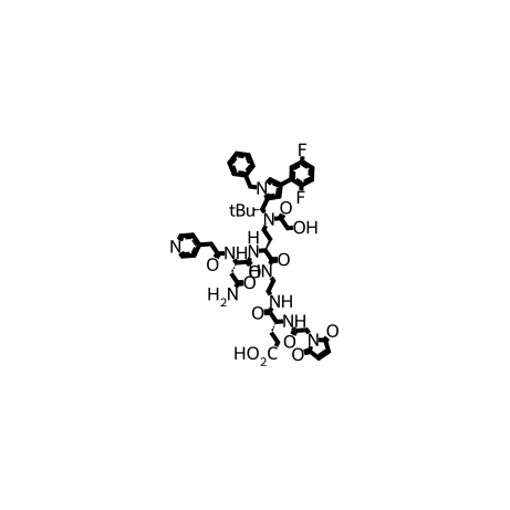 CC(C)(C)[C@H](c1cc(-c2cc(F)ccc2F)cn1Cc1ccccc1)N(CC[C@H](NC(=O)[C@H](CC(N)=O)NC(=O)Cc1ccncc1)C(=O)NCCNC(=O)[C@@H](CCC(=O)O)NC(=O)CN1C(=O)C=CC1=O)C(=O)CO